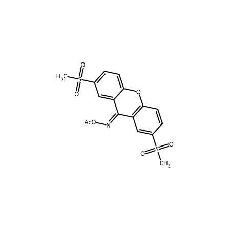 CC(=O)ON=c1c2cc(S(C)(=O)=O)ccc2oc2ccc(S(C)(=O)=O)cc12